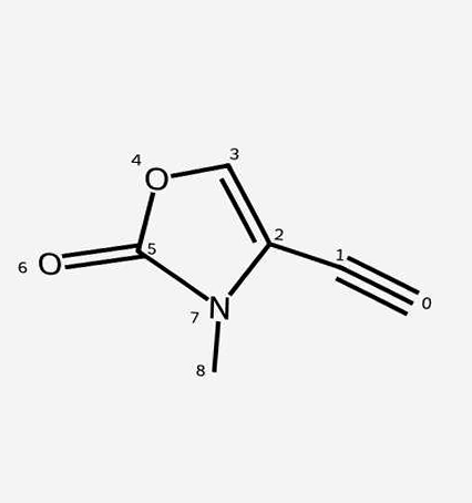 C#Cc1coc(=O)n1C